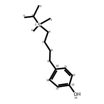 CC(C)S(C)(C)CCCCc1ccc(O)cc1